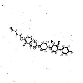 C=CCCCOc1ccc(OC(=O)C2CCC(c3ccc(-c4ccc(C)cc4)c(F)c3F)CC2)c(F)c1F